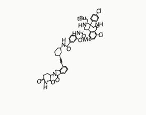 COc1cc(C(=O)N[C@H]2CCC[C@H](C#Cc3cccc4c3CN(C3CCC(=O)NC3=O)C4=O)C2)ccc1NC(=O)[C@@H]1N[C@@H](CC(C)(C)C)[C@@]2(CNc3cc(Cl)ccc32)[C@H]1c1cccc(Cl)c1F